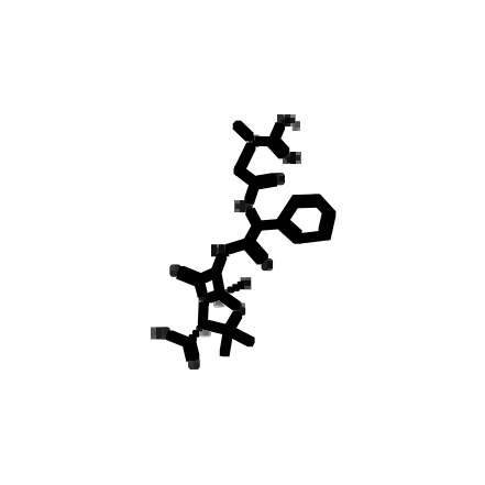 CN(CC(=O)NC(C(=O)NC1C(=O)N2[C@@H]1SC(C)(C)[C@@H]2C(=O)O)c1ccccc1)C(=N)N